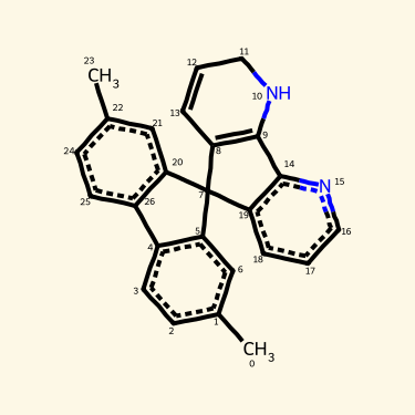 Cc1ccc2c(c1)C1(C3=C(NCC=C3)c3ncccc31)c1cc(C)ccc1-2